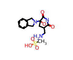 CS(=O)(=O)O.NCC1CC2(N3Cc4ccccc4C3)ON(C1=O)C2=O